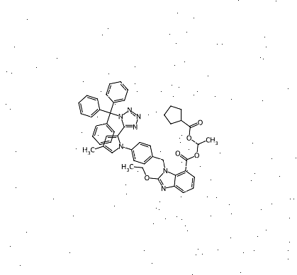 CCOc1nc2cccc(C(=O)OC(C)OC(=O)C3CCCC3)c2n1Cc1ccc(-n2cc(C)cc2-c2nnnn2C(c2ccccc2)(c2ccccc2)c2ccccc2)cc1